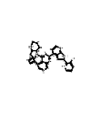 Fc1cccnc1-c1cc2c(-c3nc(N4CCC5NCCCC54)c4c(C5=CC=C5)cncc4n3)ccnc2[nH]1